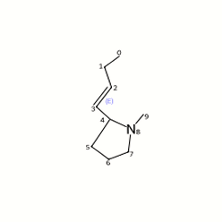 CC/C=C/C1CCCN1C